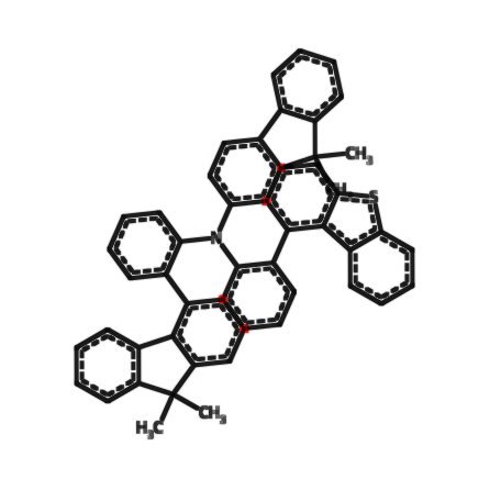 CC1(C)c2ccccc2-c2ccc(N(c3ccccc3-c3cccc4c3-c3ccccc3C4(C)C)c3ccccc3-c3cccc4sc5ccccc5c34)cc21